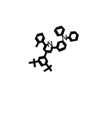 Cc1ccccc1-c1cc(-c2cc(C(C)(C)C)cc(C(C)(C)C)c2)cc(-c2cccc(N(c3ccccc3)c3ccccc3)c2)n1